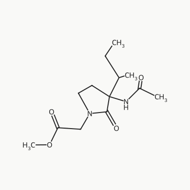 CCC(C)C1(NC(C)=O)CCN(CC(=O)OC)C1=O